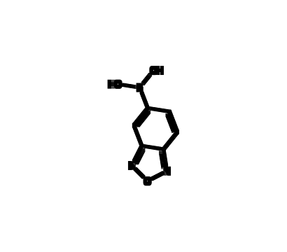 OB(O)c1ccc2nonc2c1